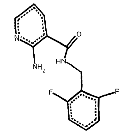 Nc1ncccc1C(=O)NCc1c(F)cccc1F